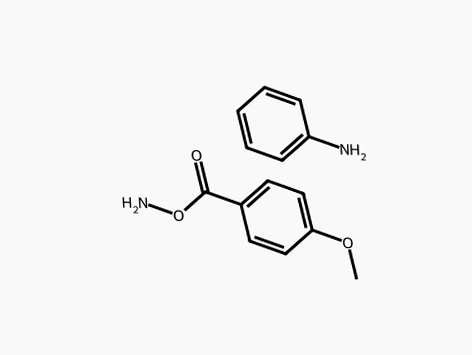 COc1ccc(C(=O)ON)cc1.Nc1ccccc1